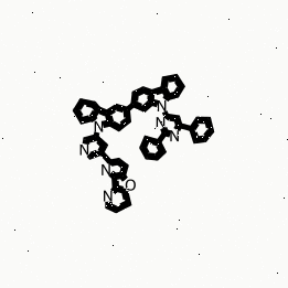 c1ccc(-c2cc(-n3c4ccccc4c4ccc(-c5ccc6c(c5)c5ccccc5n6-c5cncc(-c6ccc7oc8cccnc8c7n6)c5)cc43)nc(-c3ccccc3)n2)cc1